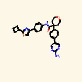 Nc1ncc(-c2ccc(C3(C(=O)Nc4ccc(-c5csc(C6CCC6)n5)cc4)CCOCC3)cc2)cn1